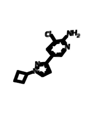 Nc1ncc(-c2ccn(C3CCC3)n2)cc1Cl